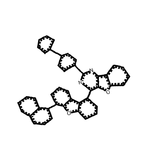 c1ccc(-c2ccc(-c3nc(-c4cccc5oc6c(-c7cccc8ccccc78)cccc6c45)c4oc5ccccc5c4n3)cc2)cc1